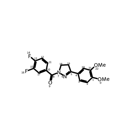 COc1ccc(C2=NN(C(=O)c3ccc(F)c(F)c3)CC2)cc1OC